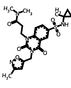 Cc1cc(Cn2c(=O)c3cc(S(=O)(=O)NC4(C)CC4)ccc3n(CCC(=O)N(C)C)c2=O)on1